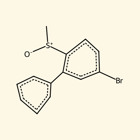 C[S+]([O-])c1ccc(Br)cc1-c1ccccc1